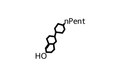 CCCCCC1CCC(C2CCC3=CC(O)CCC3C2)CC1